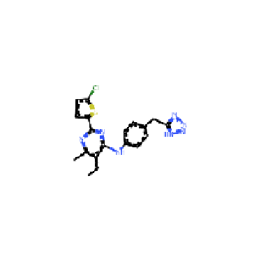 CCc1c(C)nc(-c2ccc(Cl)s2)nc1Nc1ccc(Cc2nnn[nH]2)cc1